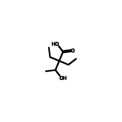 CCC(CC)(C(=O)O)C(C)O